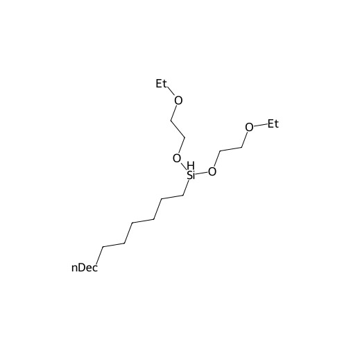 CCCCCCCCCCCCCCCC[SiH](OCCOCC)OCCOCC